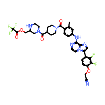 Cc1cc(Nc2nccn3c(-c4ccc(OCC#N)c(F)c4F)cnc23)ccc1C(=O)N1CCC(C(=O)N2CCNC(COC(=O)C(F)(F)F)C2)CC1